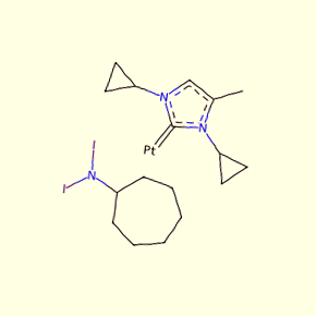 Cc1cn(C2CC2)[c](=[Pt])n1C1CC1.IN(I)C1CCCCCC1